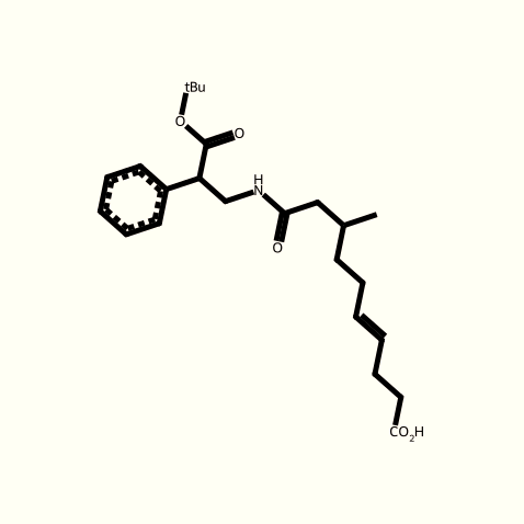 CC(CCC=CCCC(=O)O)CC(=O)NCC(C(=O)OC(C)(C)C)c1ccccc1